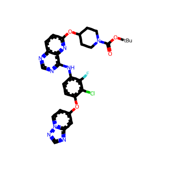 CC(C)(C)OC(=O)N1CCC(Oc2ccc3ncnc(Nc4ccc(Oc5ccn6ncnc6c5)c(Cl)c4F)c3n2)CC1